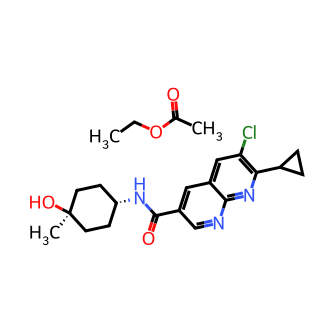 CCOC(C)=O.C[C@]1(O)CC[C@H](NC(=O)c2cnc3nc(C4CC4)c(Cl)cc3c2)CC1